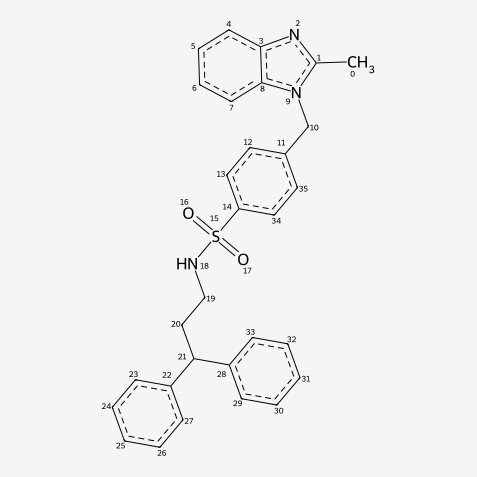 Cc1nc2ccccc2n1Cc1ccc(S(=O)(=O)NCCC(c2ccccc2)c2ccccc2)cc1